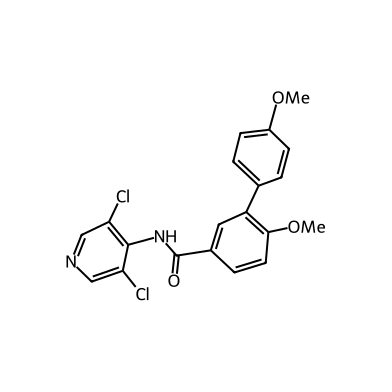 COc1ccc(-c2cc(C(=O)Nc3c(Cl)cncc3Cl)ccc2OC)cc1